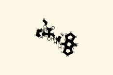 CCOC(=O)C(O)(CNC(=S)Nc1c2c(c(F)c3c1CCC3)CCC2)c1ncc[nH]1